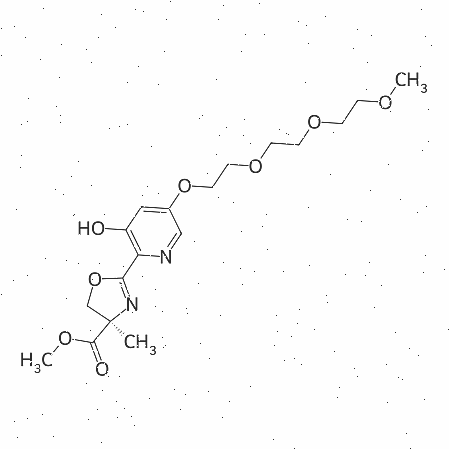 COCCOCCOCCOc1cnc(C2=N[C@@](C)(C(=O)OC)CO2)c(O)c1